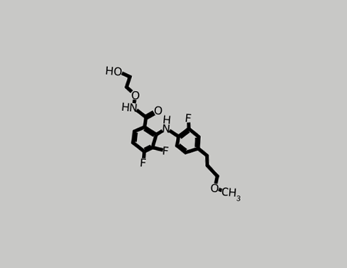 COCCCc1ccc(Nc2c(C(=O)NOCCO)ccc(F)c2F)c(F)c1